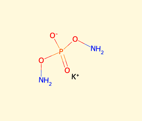 NOP(=O)([O-])ON.[K+]